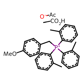 CC(=O)O.CC(=O)[O-].COc1ccc(C[P+](c2ccccc2C)(c2ccccc2C)c2ccccc2C)cc1